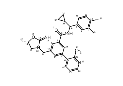 Cc1cc(C(NC(=O)c2cc(CN3C[C@H](C)OC3=N)cc(-c3cccnc3C(F)(F)F)c2)C2CC2)ccc1F